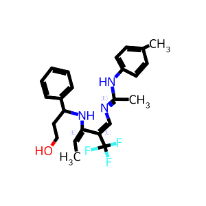 C\C=C(NC(CCO)c1ccccc1)/C(=C\N=C(/C)Nc1ccc(C)cc1)C(F)(F)F